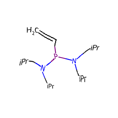 C=CP(N(C(C)C)C(C)C)N(C(C)C)C(C)C